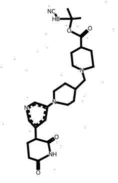 CC(C)(BC#N)OC(=O)C1CCN(CC2CCN(c3cncc(C4CCC(=O)NC4=O)c3)CC2)CC1